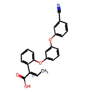 C/C=C(/C(=O)O)c1ccccc1Oc1cccc(Oc2cccc(C#N)c2)c1